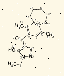 CCn1ncc(C(=O)c2cc(C)c3c(c2C)CCCCS3)c1O